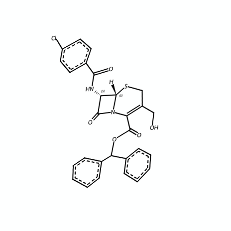 O=C(OC(c1ccccc1)c1ccccc1)C1=C(CO)CS[C@H]2[C@@H](NC(=O)c3ccc(Cl)cc3)C(=O)N12